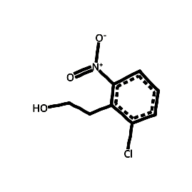 O=[N+]([O-])c1cccc(Cl)c1CCO